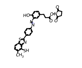 Cc1ccc2sc(-c3ccc(/N=N/c4cc(CCC(=O)ON5C(=O)CCC5=O)ccc4O)cc3)nc2c1S